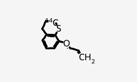 C=C[CH]Oc1cccc2c1S[14CH2]CC2